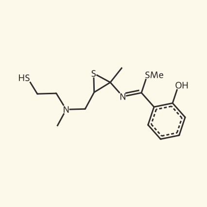 CS/C(=N\C1(C)SC1CN(C)CCS)c1ccccc1O